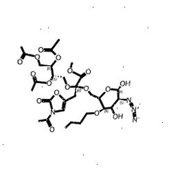 CCCCO[C@H]1C(CO[C@](Cc2cn(C(C)=O)c(=O)o2)(OC[C@H](OC(C)=O)[C@@H](COC(C)=O)OC(C)=O)C(=O)OC)O[C@@H](O)[C@@H](N=[N+]=[N-])C1O